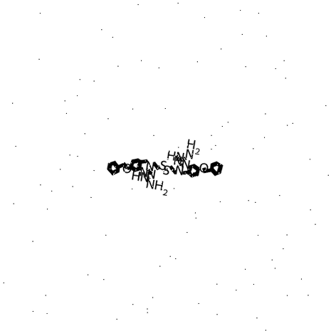 Nc1nc(N(CCSSCCN(Cc2ccc(OCc3ccccc3)cc2)c2n[nH]c(N)n2)Cc2ccc(OCc3ccccc3)cc2)n[nH]1